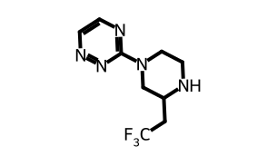 FC(F)(F)CC1CN(c2nccnn2)CCN1